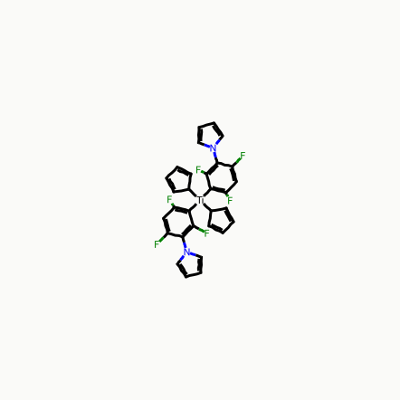 Fc1cc(F)[c]([Ti]([c]2c(F)cc(F)c(-n3cccc3)c2F)([CH]2C=CC=C2)[CH]2C=CC=C2)c(F)c1-n1cccc1